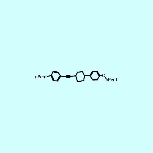 CCCCCOc1ccc(C2CCC(C#Cc3ccc(CCCCC)cc3)CC2)cc1